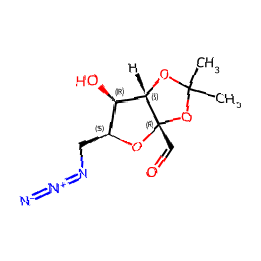 CC1(C)O[C@H]2[C@H](O)[C@H](CN=[N+]=[N-])O[C@@]2(C=O)O1